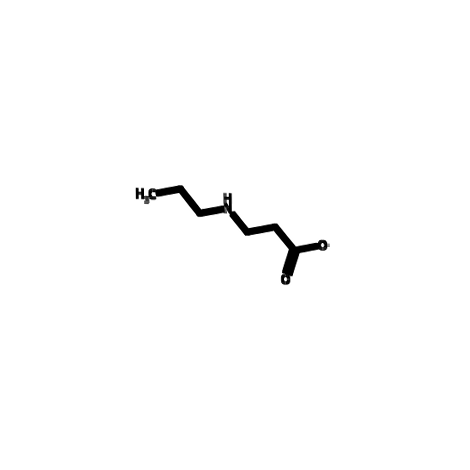 CCCNCCC([O])=O